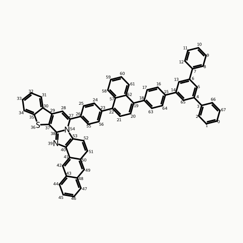 c1ccc(-c2cc(-c3ccccc3)cc(-c3ccc(-c4ccc(-c5ccc(-c6cc7c8ccccc8sc7c7nc8c9cc%10ccccc%10cc9ccc8n67)cc5)c5ccccc45)cc3)c2)cc1